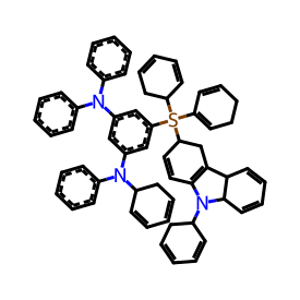 C1=CCC(N(c2ccccc2)c2cc(N(c3ccccc3)c3ccccc3)cc(S(C3=CCCC=C3)(C3C=CC=CC3)C3C=CC4=C(C3)C3C=CC=CC3N4C3C=CC=CC3)c2)C=C1